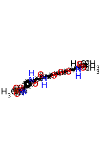 CC(C)(C)OC(=O)NCCCOCCOCCOCCCNC(=O)CCC(=O)Nc1ccc(-c2nnc(S(C)(=O)=O)o2)cc1